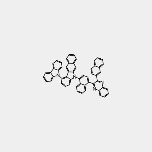 c1ccc2cc(-c3nc4ccccc4nc3-c3ccc(-n4c5cc6ccccc6cc5c5c(-n6c7ccccc7c7ccccc76)cccc54)c4ccccc34)ccc2c1